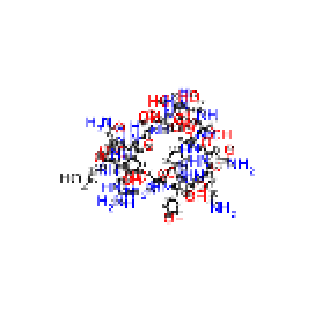 C[C@@H](O)[C@H](NC(=O)[C@H](Cc1ccccc1)NC(=O)[C@H](CCC(N)=O)NC(=O)[C@H](CCCCN)NC(=O)[C@H](CO)NC(=O)[C@H](Cc1ccc(O)cc1)NC(=O)[C@@H](N)CO)C(=O)N[C@@H](CO)C(=O)N[C@@H](CO)C(=O)N[C@H](C(=O)N[C@@H](CO)C(=O)N[C@@H](Cc1ccc(O)cc1)C(=O)N[C@@H](CC(N)=O)C(=O)N[C@@H](CCCNC(=N)N)C(=O)NCC(=O)O)[C@@H](C)O